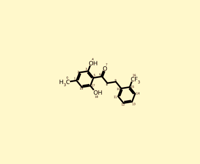 Cc1cc(O)c(C(=O)CCc2ccccc2C(F)(F)F)c(O)c1